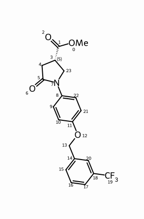 COC(=O)[C@H]1CC(=O)N(c2ccc(OCc3cccc(C(F)(F)F)c3)cc2)C1